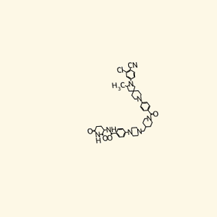 CC1CC2(CCN(c3ccc(C(=O)N4CCC(CN5CCN(c6ccc(C(=O)NC7CCC(=O)NC7=O)cc6)CC5)CC4)cc3)CC2)CN1c1ccc(C#N)c(Cl)c1